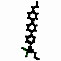 CCC[C@H]1[C@H](c2ccc([C@H]3CC[C@H]([C@H]4CC[C@H](CCC)CC4)CC3)cc2)C1(F)F